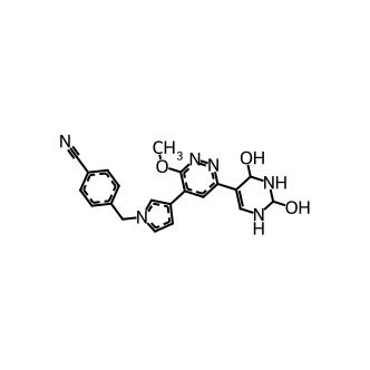 COc1nnc(C2=CNC(O)NC2O)cc1-c1ccn(Cc2ccc(C#N)cc2)c1